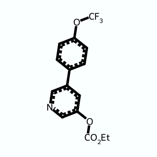 CCOC(=O)Oc1cncc(-c2ccc(OC(F)(F)F)cc2)c1